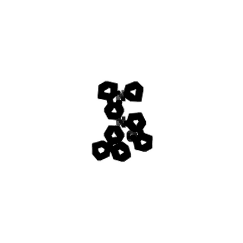 c1ccc(-n2c3ccccc3c3ccc(N(c4ccc(C5(c6ccccc6)CCCCC5)cc4)c4cccc5c4oc4ccccc45)cc32)cc1